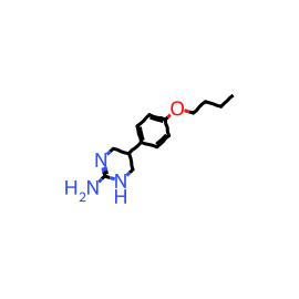 CCCCOc1ccc(C2CN=C(N)NC2)cc1